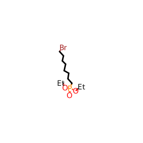 CCOP(=O)(CCCCCCCCBr)OCC